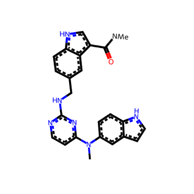 CNC(=O)c1c[nH]c2ccc(CNc3nccc(N(C)c4ccc5[nH]ccc5c4)n3)cc12